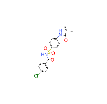 C=C(C)C(=O)Nc1ccc(S(=O)(=O)NC(=O)c2ccc(Cl)cc2)cc1